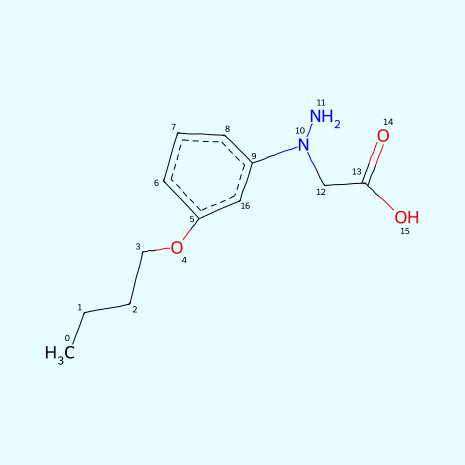 CCCCOc1cccc(N(N)CC(=O)O)c1